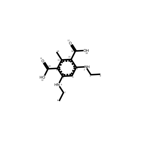 CCNc1cc(NCC)c(C(=O)O)c(C)c1C(=O)O